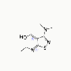 CC/N=C1/SN=C(N(C)C)/C1=C/O